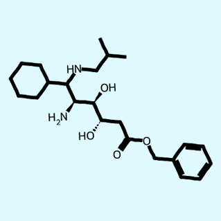 CC(C)CNC(C1CCCCC1)[C@H](N)[C@@H](O)[C@@H](O)CC(=O)OCc1ccccc1